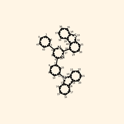 c1ccc(-c2cc(-c3cccc(-n4c5ccccc5c5ccccc54)c3)nc(-c3cccc4sc5ccccc5c34)n2)cc1